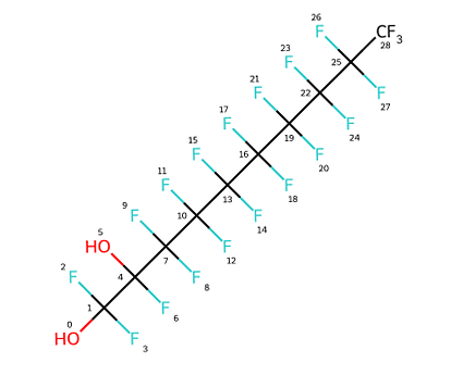 OC(F)(F)C(O)(F)C(F)(F)C(F)(F)C(F)(F)C(F)(F)C(F)(F)C(F)(F)C(F)(F)C(F)(F)F